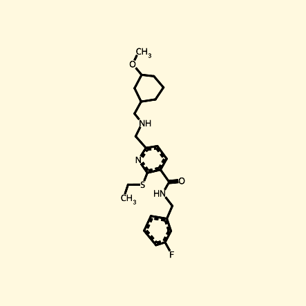 CCSc1nc(CNCC2CCCC(OC)C2)ccc1C(=O)NCc1cccc(F)c1